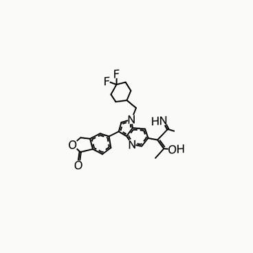 CC(=N)/C(=C(/C)O)c1cnc2c(-c3ccc4c(c3)COC4=O)cn(CC3CCC(F)(F)CC3)c2c1